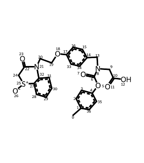 Cc1ccc(OC(=O)N(CC(=O)O)Cc2ccc(OCCN3C(=O)C[S+]([O-])c4ccccc43)cc2)cc1